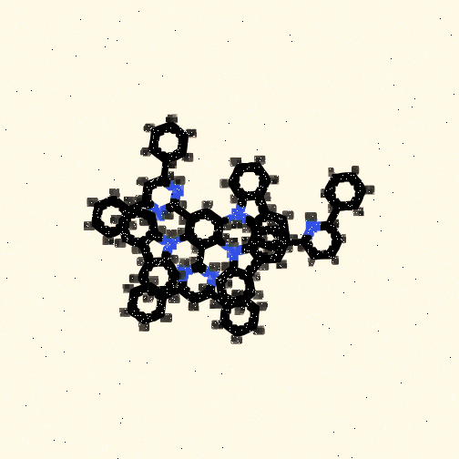 c1ccc(-c2cccc(-c3ccc4c(c3)c3ccccc3n4-c3c(-n4c5ccccc5c5ccccc54)cc(-c4nc(-c5ccccc5)cc(-c5ccccc5)n4)c(-n4c5ccccc5c5ccccc54)c3-c3nc(-c4ccccc4)cc(-c4ccccc4)n3)n2)cc1